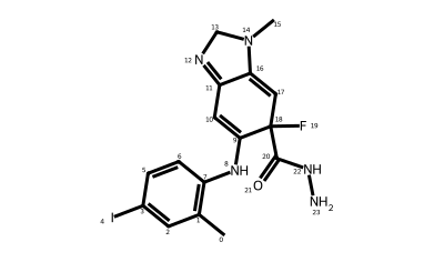 Cc1cc(I)ccc1NC1=CC2=NCN(C)C2=CC1(F)C(=O)NN